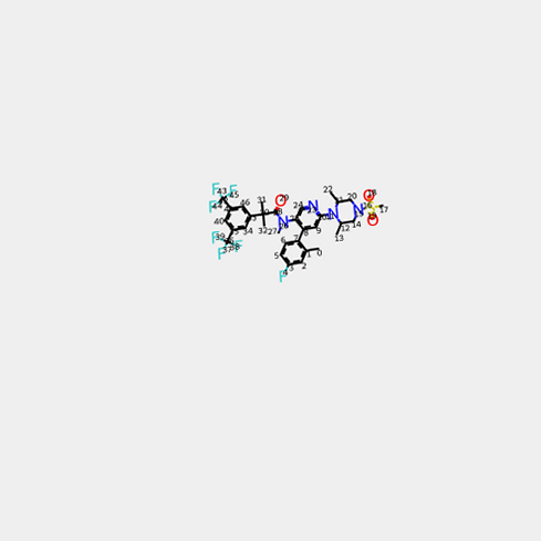 Cc1cc(F)ccc1-c1cc(N2C(C)CN(S(C)(=O)=O)CC2C)ncc1N(C)C(=O)C(C)(C)c1cc(C(F)(F)F)cc(C(F)(F)F)c1